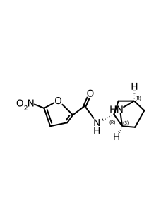 O=C(N[C@@H]1C[C@H]2CC[C@@H]1N2)c1ccc([N+](=O)[O-])o1